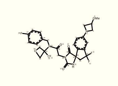 COC1CN(c2ccc3c(c2)C(F)(F)C[C@]32NC(=O)N(CC(=O)N(Cc3ccc(F)cc3)C3(C(F)(F)F)COC3)C2=O)C1